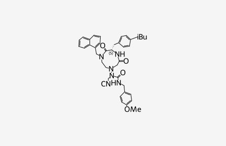 CCC(C)c1ccc(C[C@@H]2NC(=O)CN(N(CC#N)C(=O)NCc3ccc(OC)cc3)CCN(Cc3cccc4ccccc34)C2=O)cc1